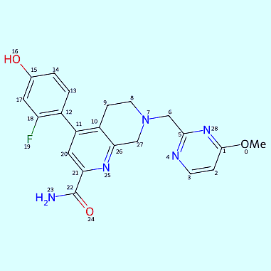 COc1ccnc(CN2CCc3c(-c4ccc(O)cc4F)cc(C(N)=O)nc3C2)n1